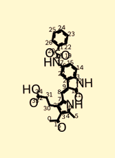 CC(=O)c1c(C)[nH]c(/C=C2\C(=O)Nc3ccc(NS(=O)(=O)c4ccccc4)cc32)c1CCC(=O)O